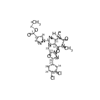 CCOC(=O)c1cnn(-c2nc3c(c(=O)n(C)c(=O)n3C)n2Cc2nnc(-c3ccc(Cl)c(Cl)c3)o2)c1